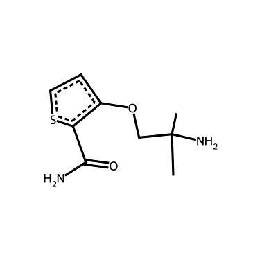 CC(C)(N)COc1ccsc1C(N)=O